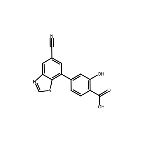 N#Cc1cc(-c2ccc(C(=O)O)c(O)c2)c2scnc2c1